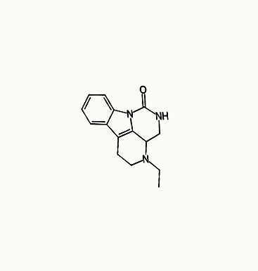 CCN1CCc2c3n(c4ccccc24)C(=O)NCC31